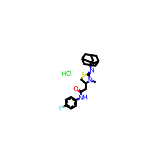 CN1C(=NC23CC4CC(CC(C4)C2)C3)SCC1CC(=O)Nc1ccc(F)cc1.Cl